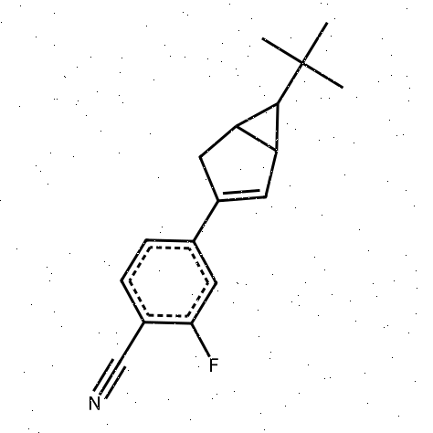 CC(C)(C)C1C2C=C(c3ccc(C#N)c(F)c3)CC21